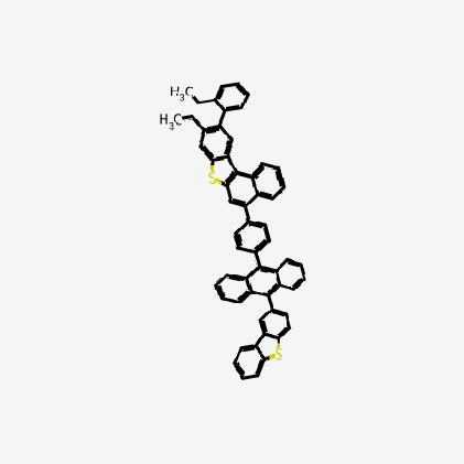 CCc1ccccc1-c1cc2c(cc1CC)sc1cc(-c3ccc(-c4c5ccccc5c(-c5ccc6sc7ccccc7c6c5)c5ccccc45)cc3)c3ccccc3c12